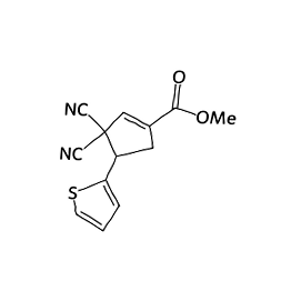 COC(=O)C1=CC(C#N)(C#N)C(c2cccs2)C1